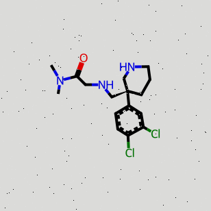 CN(C)C(=O)CNC[C@]1(c2ccc(Cl)c(Cl)c2)CCCNC1